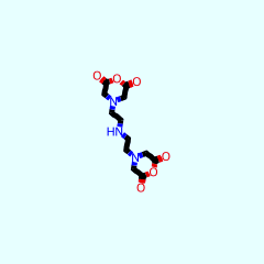 O=C1CN(CCNCCN2CC(=O)OC(=O)C2)CC(=O)O1